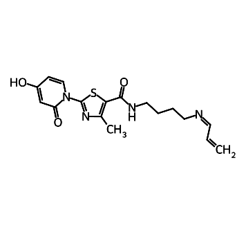 C=C/C=N\CCCCNC(=O)c1sc(-n2ccc(O)cc2=O)nc1C